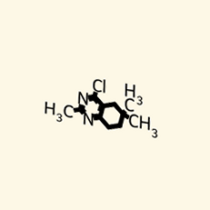 Cc1nc(Cl)c2c(n1)CCC(C)(C)C2